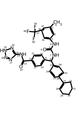 Cc1cc(NC(=O)NC(c2ccc(C(=O)Nc3nn[nH]n3)cc2)c2ccc(C3=CCCCC3)cc2)cc(C(F)(F)F)c1